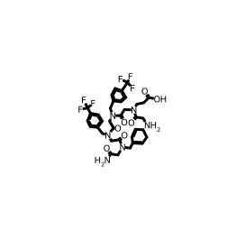 NCC(=O)N(CCC(=O)O)CC(=O)N(CC(=O)N(CC(=O)N(CC(N)=O)CC1=CCCC=C1)Cc1ccc(C(F)(F)F)cc1)Cc1ccc(C(F)(F)F)cc1